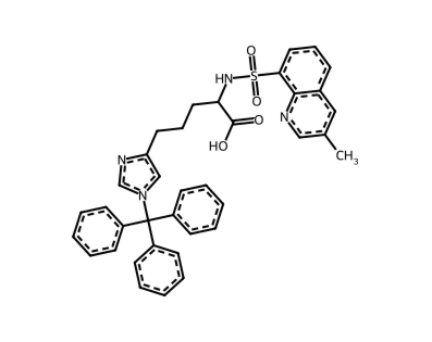 Cc1cnc2c(S(=O)(=O)NC(CCCc3cn(C(c4ccccc4)(c4ccccc4)c4ccccc4)cn3)C(=O)O)cccc2c1